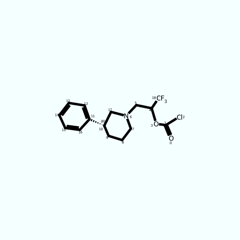 O=C(Cl)OC(CN1CCC[C@H](c2ccccc2)C1)C(F)(F)F